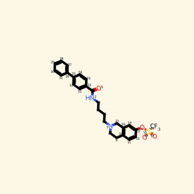 O=C(NCCCCN1CCc2ccc(OS(=O)(=O)C(F)(F)F)cc2C1)c1ccc(-c2ccccc2)cc1